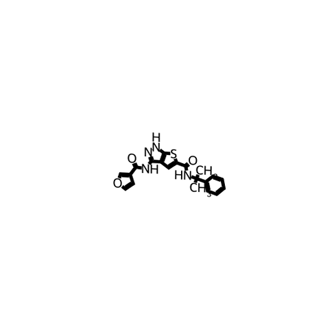 CC(C)(NC(=O)c1cc2c(NC(=O)c3ccoc3)n[nH]c2s1)c1ccccc1